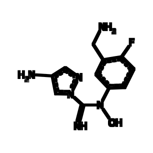 N=C(N(O)c1ccc(F)c(CN)c1)n1cc(N)cn1